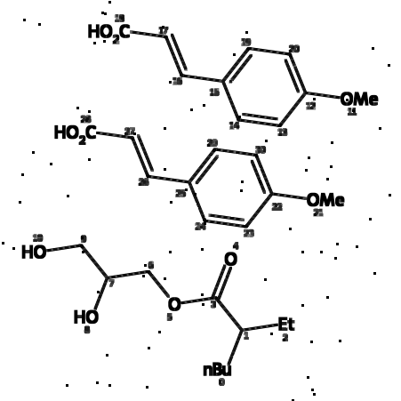 CCCCC(CC)C(=O)OCC(O)CO.COc1ccc(C=CC(=O)O)cc1.COc1ccc(C=CC(=O)O)cc1